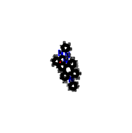 c1ccc(-c2nc3ccccc3nc2-n2c3cccc4c5cccc6c5c5c(cccc5n6-c5ccccc5)c5cccc2c5c43)cc1